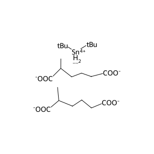 CC(CCCC(=O)[O-])C(=O)[O-].CC(CCCC(=O)[O-])C(=O)[O-].C[C](C)(C)[SnH2+4][C](C)(C)C